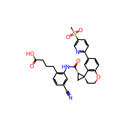 CS(=O)(=O)c1ccc(-c2ccc3c(c2)[C@]2(CCO3)C[C@H]2C(=O)Nc2cc(C#N)ccc2CCCC(=O)O)nc1